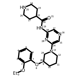 CCOc1ccccc1O[C@@H]1CCCN(c2cncc(NC(=O)C3CCNCC3)n2)C1